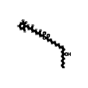 CCCCCC[C@@H](O)C/C=C\CCCCCCCC(=O)OC(=O)/C=C(C)/C=C/C=C(C)/C=C/C1=C(C)CCCC1(C)C